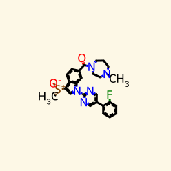 CN1CCCN(C(=O)c2ccc3c([S+](C)[O-])cn(-c4ncc(-c5ccccc5F)cn4)c3c2)CC1